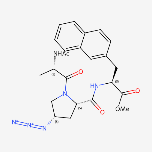 COC(=O)[C@H](Cc1ccc2ccccc2c1)NC(=O)[C@@H]1C[C@H](N=[N+]=[N-])CN1C(=O)[C@H](C)NC(C)=O